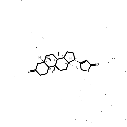 C[C@]12CC[C@H]3[C@@H](CC[C@@H]4CC(=O)CC[C@@]43CO)[C@H]1CC[C@@H]2C1=CC(=O)OC1